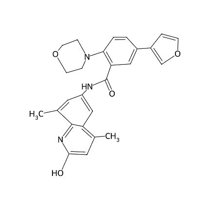 Cc1cc(O)nc2c(C)cc(NC(=O)c3cc(-c4ccoc4)ccc3N3CCOCC3)cc12